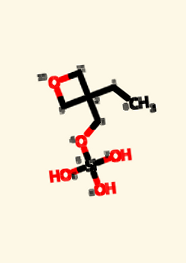 CCC1(CO[Si](O)(O)O)COC1